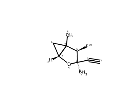 B[C@]1(C#C)O[C@@H]2CC2(O)[C@H]1F